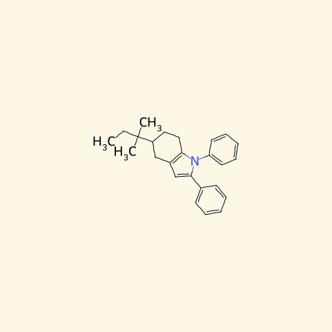 CCC(C)(C)C1CCc2c(cc(-c3ccccc3)n2-c2ccccc2)C1